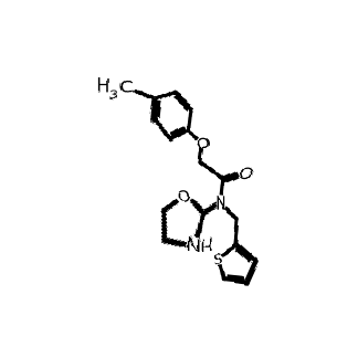 Cc1ccc(OCC(=O)N(Cc2cccs2)C2NCCO2)cc1